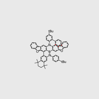 CC(C)(C)c1ccc(N2B3c4cc5oc6ccccc6c5cc4N(c4ccc(C(C)(C)C)cc4-c4ccccc4)c4cc5c(oc6ccccc65)c(c43)-c3cc4c(cc32)C(C)(C)CCC4(C)C)cc1